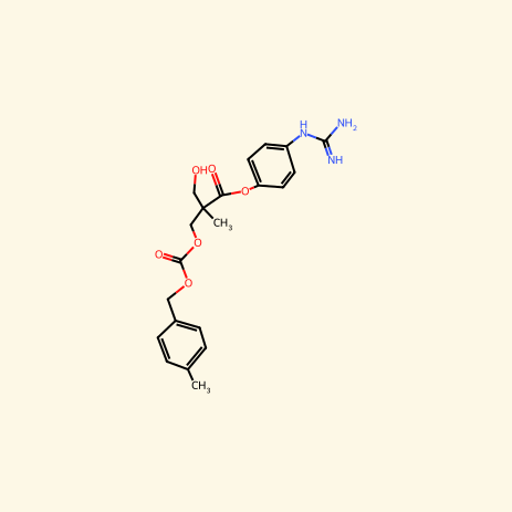 Cc1ccc(COC(=O)OCC(C)(CO)C(=O)Oc2ccc(NC(=N)N)cc2)cc1